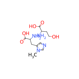 Cn1cncc1CC(N)C(=O)O.NC(CCO)C(=O)O